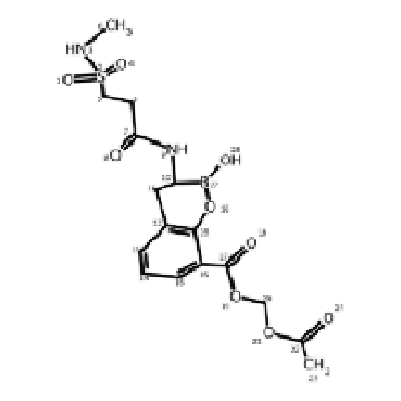 CNS(=O)(=O)CCC(=O)NC1Cc2cccc(C(=O)OCOC(C)=O)c2OB1O